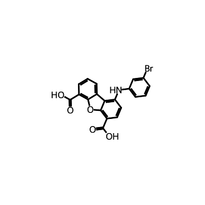 O=C(O)c1cccc2c1oc1c(C(=O)O)ccc(Nc3cccc(Br)c3)c12